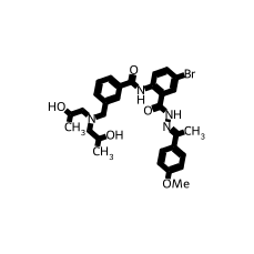 COc1ccc(C(C)=NNC(=O)c2cc(Br)ccc2NC(=O)c2cccc(CN(CC(C)O)CC(C)O)c2)cc1